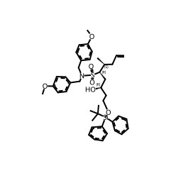 C=CC[C@H](C)[C@@H](C[C@H](O)CCO[Si](c1ccccc1)(c1ccccc1)C(C)(C)C)S(=O)(=O)N(Cc1ccc(OC)cc1)Cc1ccc(OC)cc1